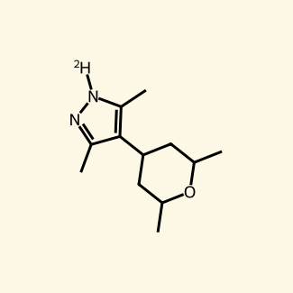 [2H]n1nc(C)c(C2CC(C)OC(C)C2)c1C